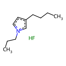 CCCCc1ccn(CCC)c1.F